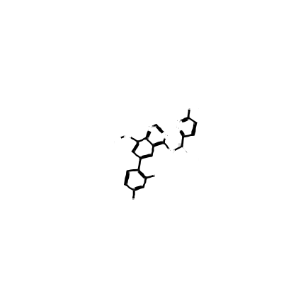 COc1cc(-c2ccc(F)cc2F)cc2c(N[C@H](C)c3ccc(C)nn3)ncnc12